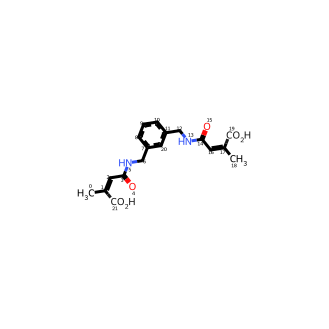 C/C(=C/C(=O)NCc1cccc(CNC(=O)/C=C(/C)C(=O)O)c1)C(=O)O